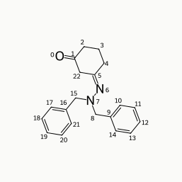 O=C1CCCC(=NN(Cc2ccccc2)Cc2ccccc2)C1